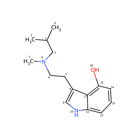 CC(C)CN(C)CCc1c[nH]c2cccc(O)c12